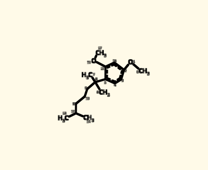 COc1ccc(C(C)(C)CCCC(C)C)c(OC)c1